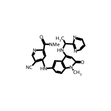 CNC(=O)c1cc(Nc2ccc3c(c2)c(NC(C)c2ncccn2)cc(=O)n3C)c(C#N)cn1